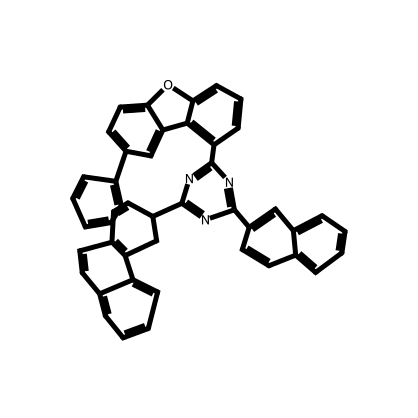 C1=CC(c2nc(-c3ccc4ccccc4c3)nc(-c3cccc4oc5ccc(-c6ccccc6)cc5c34)n2)Cc2c1ccc1ccccc21